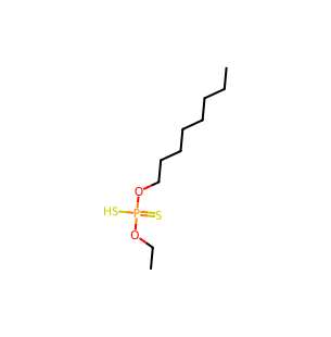 CCCCCCCCOP(=S)(S)OCC